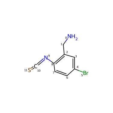 NCc1cc(Br)ccc1N=C=S